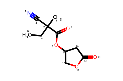 CCC(C)(C#N)C(=O)OC1COC(=O)C1